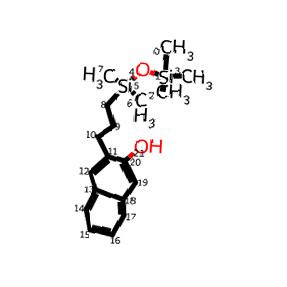 C[Si](C)(C)O[Si](C)(C)CCCc1cc2ccccc2cc1O